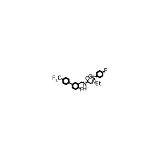 CCN(CC(=O)NCc1cc(-c2ccc(C(F)(F)F)cc2)ccc1F)[S+]([O-])c1ccc(F)cc1